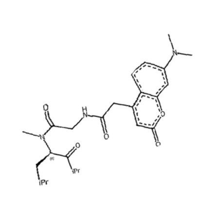 CC(C)C[C@H](C(=O)C(C)C)N(C)C(=O)CNC(=O)Cc1cc(=O)oc2cc(N(C)C)ccc12